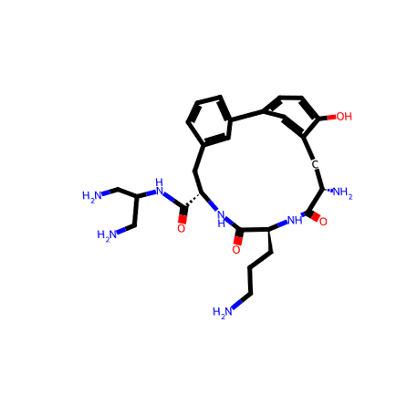 NCCC[C@@H]1NC(=O)[C@@H](N)Cc2cc(ccc2O)-c2cccc(c2)C[C@@H](C(=O)NC(CN)CN)NC1=O